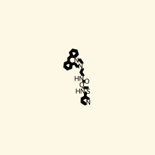 O=C(NCCCN1CCN2c3ccccc3Cc3ccccc3C2C1)OC1CSC(c2cccnc2)N1